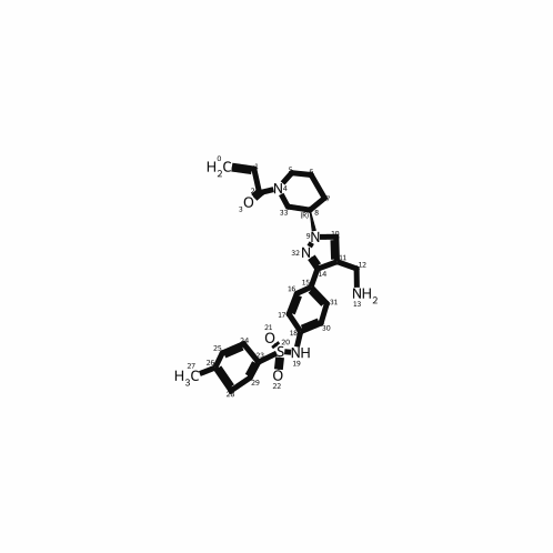 C=CC(=O)N1CCC[C@@H](n2cc(CN)c(-c3ccc(NS(=O)(=O)c4ccc(C)cc4)cc3)n2)C1